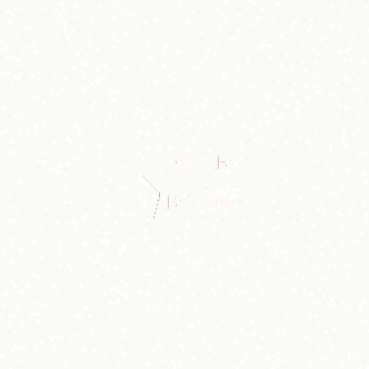 CCC.O=S(=O)(Br)Br